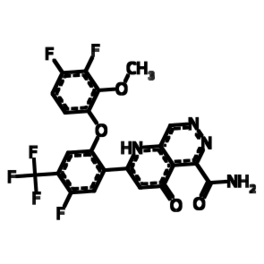 COc1c(Oc2cc(C(F)(F)F)c(F)cc2-c2cc(=O)c3c(C(N)=O)nncc3[nH]2)ccc(F)c1F